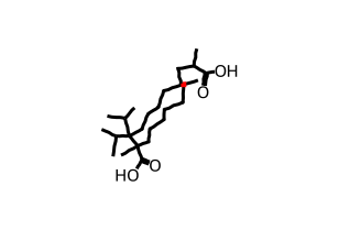 CCCCCCCC(C)(C(=O)O)C(CCCCCCC(C)C(=O)O)(C(C)C)C(C)C